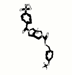 C[C@]12CN(C(=O)OCc3ccc(OC(F)(F)F)cc3)CC1CN(C(=O)c1ccc(S(N)(=O)=O)cc1)C2